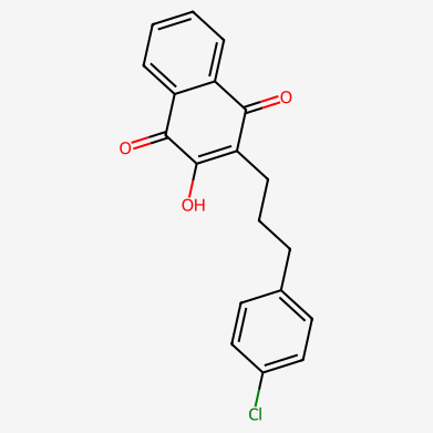 O=C1C(O)=C(CCCc2ccc(Cl)cc2)C(=O)c2ccccc21